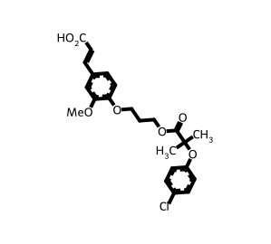 COc1cc(/C=C/C(=O)O)ccc1OCCCOC(=O)C(C)(C)Oc1ccc(Cl)cc1